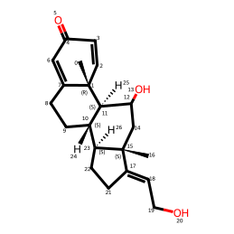 C[C@]12C=CC(=O)C=C1CC[C@@H]1[C@@H]2C(O)C[C@]2(C)C(=CCO)CC[C@@H]12